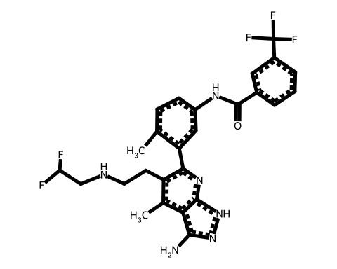 Cc1ccc(NC(=O)c2cccc(C(F)(F)F)c2)cc1-c1nc2[nH]nc(N)c2c(C)c1CCNCC(F)F